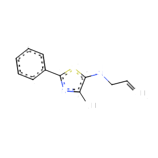 C=CCNc1sc(-c2ccccc2)nc1C